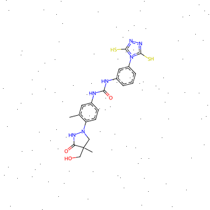 Cc1cc(NC(=O)Nc2cccc(-n3c(S)nnc3S)c2)ccc1N1CC(C)(CO)C(=O)N1